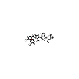 CC[C@H]1CNC2(CC2)CN1C(=O)[C@@H]1CC[C@@H](C)N1C(=O)C1=C(C(C)C)N2C(=N[C@@](C)(c3ccc(Cl)nc3)[C@H]2c2ccc(Cl)c(F)c2)S1